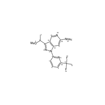 COC(C)c1nn(-c2cccc(C(C)(F)F)n2)c2cc(NC(C)=O)ncc12